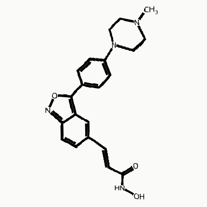 CN1CCN(c2ccc(-c3onc4ccc(/C=C/C(=O)NO)cc34)cc2)CC1